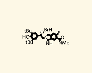 Br.CNC(=O)c1cc2c(cc1F)CN(CC(=O)c1cc(C(C)(C)C)c(O)c(C(C)(C)C)c1)C2=N